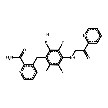 NC(=O)c1ncccc1Cc1c(F)c(F)c(NCC(=O)c2ccccn2)c(F)c1F.[N]